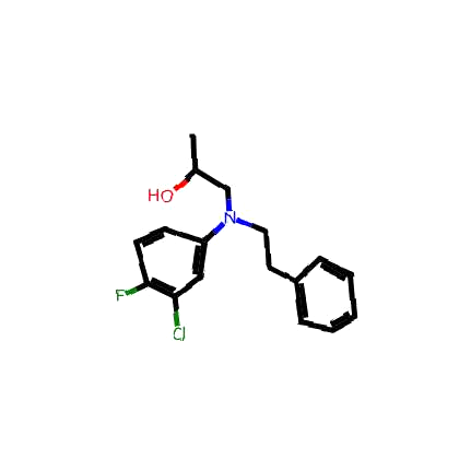 CC(O)CN(CCc1ccccc1)c1ccc(F)c(Cl)c1